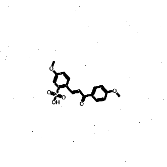 COc1ccc(C(=O)C=Cc2ccc(OC)cc2S(=O)(=O)O)cc1